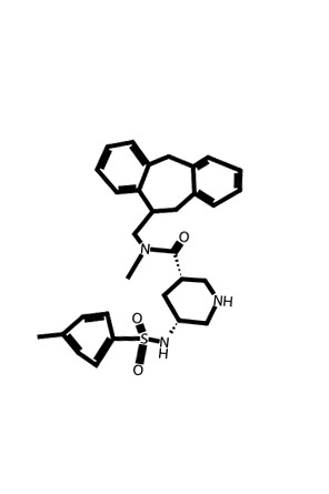 Cc1ccc(S(=O)(=O)N[C@H]2CNC[C@@H](C(=O)N(C)CC3Cc4ccccc4Cc4ccccc43)C2)cc1